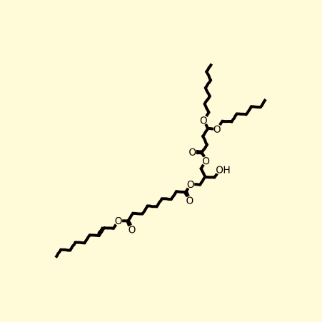 CCCCCCC=CCOC(=O)CCCCCCCC(=O)OCC(CO)COC(=O)CCC(OCCCCCCC)OCCCCCCC